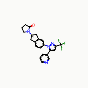 O=C1CCCN1[C@@H]1Cc2ccc(-n3nc(C(F)(F)F)cc3-c3cccnc3)cc2C1